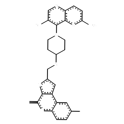 COc1ccc2ncc(C#N)c(N3CCC(NCc4cc5c([nH]4)c(=O)oc4ccc(F)cc45)CC3)c2n1